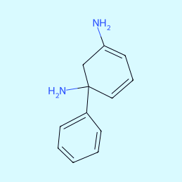 NC1=CC=CC(N)(c2ccccc2)C1